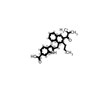 CCCc1c(C(=O)C(C)C)cc2ccccc2c1Cc1cc2ccc(C(=O)O)cc2[nH]1